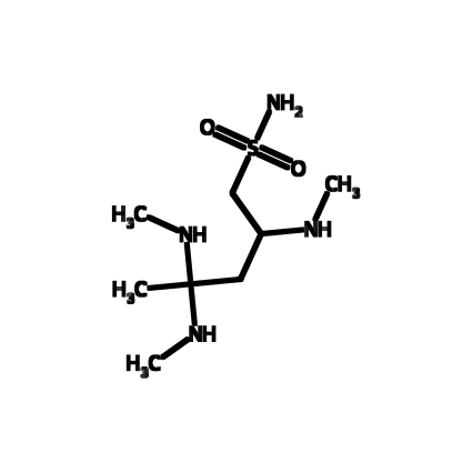 CNC(CC(C)(NC)NC)CS(N)(=O)=O